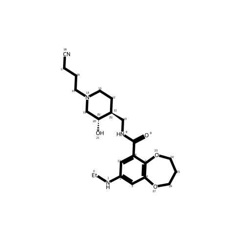 CCNc1cc2c(c(C(=O)NC[C@@H]3CCN(CCCC#N)C[C@H]3O)c1)OCCCO2